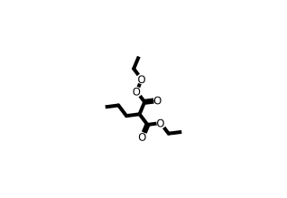 CCCC(C(=O)OCC)C(=O)OOCC